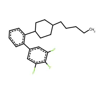 CCCCCC1CCC(c2ccccc2-c2cc(F)c(F)c(F)c2)CC1